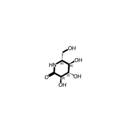 O=C1N[C@H](CO)[C@@H](O)[C@H](O)[C@H]1O